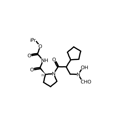 CC(C)OC(=O)NC(=O)[C@@H]1CCCN1C(=O)C(CN(O)C=O)C1CCCC1